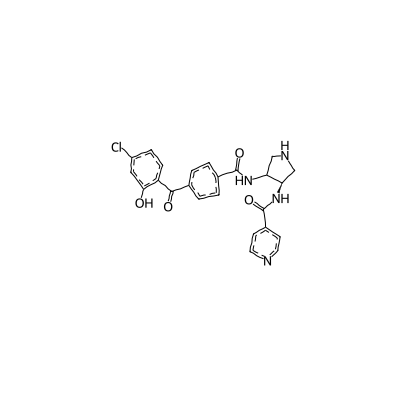 O=C(NC1CNC[C@H]1NC(=O)c1ccncc1)c1ccc(C(=O)c2ccc(Cl)cc2O)cc1